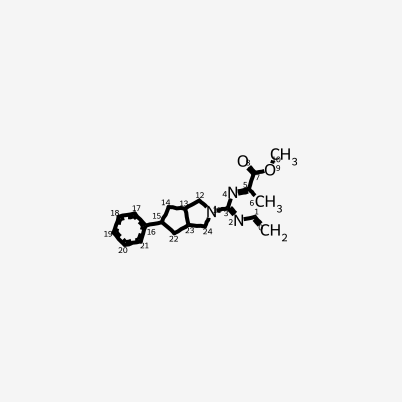 C=C/N=C(\N=C(/C)C(=O)OC)N1CC2CC(c3ccccc3)CC2C1